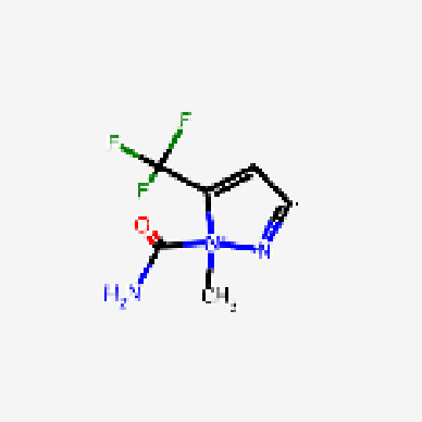 C[N+]1(C(N)=O)N=[C]C=C1C(F)(F)F